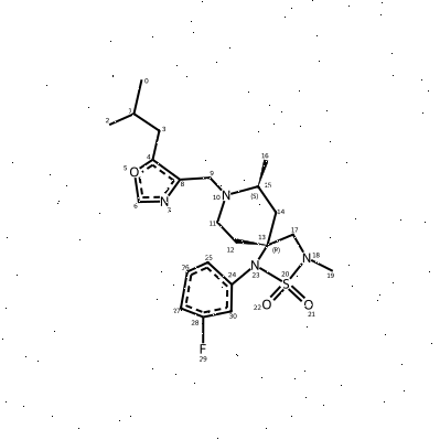 CC(C)Cc1ocnc1CN1CC[C@@]2(C[C@@H]1C)CN(C)S(=O)(=O)N2c1cccc(F)c1